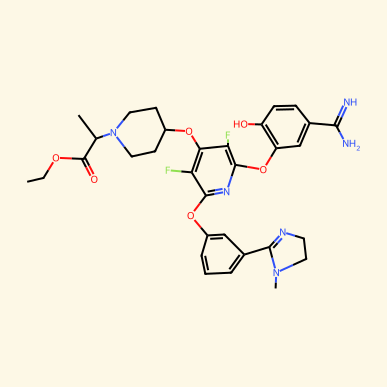 CCOC(=O)C(C)N1CCC(Oc2c(F)c(Oc3cccc(C4=NCCN4C)c3)nc(Oc3cc(C(=N)N)ccc3O)c2F)CC1